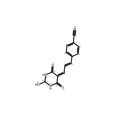 N#Cc1ccc(/C=C/C=C2C(=O)NC(O)NC2=O)cc1